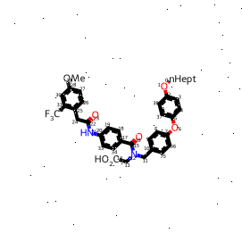 CCCCCCCOc1ccc(Oc2ccc(CN(CC(=O)O)C(=O)c3ccc(NC(=O)Cc4ccc(OC)cc4C(F)(F)F)cc3)cc2)cc1